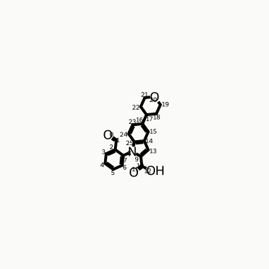 O=Cc1ccccc1-n1c(C(=O)O)cc2cc(C3CCOCC3)ccc21